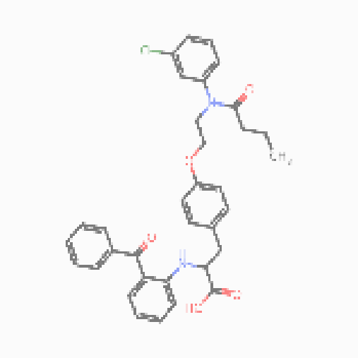 CCCC(=O)N(CCOc1ccc(CC(Nc2ccccc2C(=O)c2ccccc2)C(=O)O)cc1)c1cccc(Cl)c1